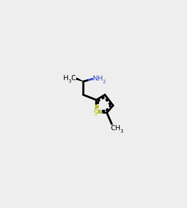 Cc1ccc(C[C@@H](C)N)s1